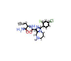 CN1CCCn2c(-c3ccc(Cl)cc3F)nc(C(=O)NC(CC(C)(C)C)C(N)=O)c2C1